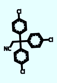 N#CCC(c1ccc(Cl)cc1)(c1ccc(Cl)cc1)c1ccc(Cl)cc1